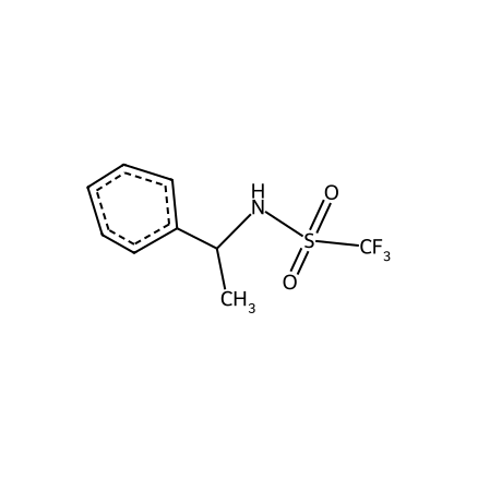 CC(NS(=O)(=O)C(F)(F)F)c1ccccc1